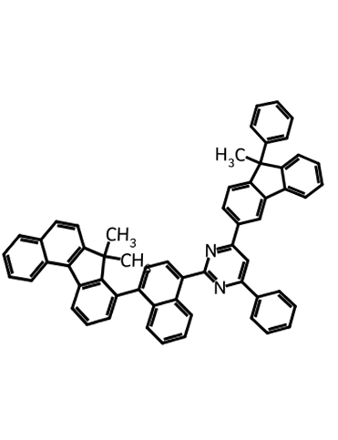 CC1(C)c2ccc3ccccc3c2-c2cccc(-c3ccc(-c4nc(-c5ccccc5)cc(-c5ccc6c(c5)-c5ccccc5C6(C)c5ccccc5)n4)c4ccccc34)c21